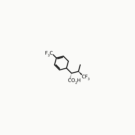 C[C@H]([C@H](C(=O)O)C1C=CC(C(F)(F)F)=CC1)C(F)(F)F